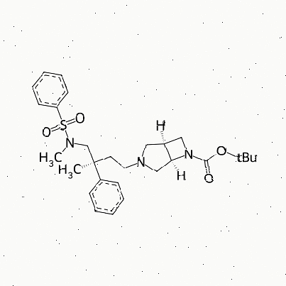 CN(C[C@@](C)(CCN1C[C@H]2CN(C(=O)OC(C)(C)C)[C@H]2C1)c1ccccc1)S(=O)(=O)c1ccccc1